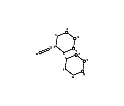 C1COOOC1.C1COOOC1.C=O